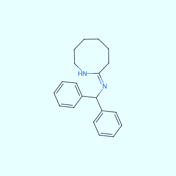 c1ccc(C(/N=C2/CCCCCCN2)c2ccccc2)cc1